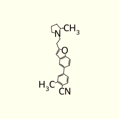 Cc1cc(-c2ccc3oc(CCN4CCC[C@H]4C)cc3c2)ccc1C#N